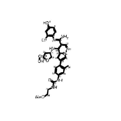 CCc1cc(O)ccc1N=C(N)c1cnn2cc(-c3ccc(NC(=O)NCCOC)cc3C)cc2c1N[C@H]1CCOC1.O=CO